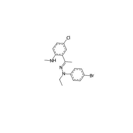 CCN(/N=C(\C)c1cc(Cl)ccc1NC)c1ccc(Br)cc1